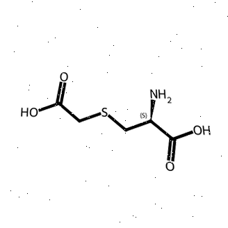 N[C@H](CSCC(=O)O)C(=O)O